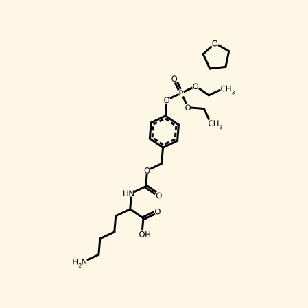 C1CCOC1.CCOP(=O)(OCC)Oc1ccc(COC(=O)NC(CCCCN)C(=O)O)cc1